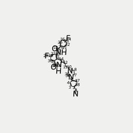 N#Cc1ccc(N2CCN(CCCc3cc4c(NC(=O)c5ccc(F)cc5)cc(F)cc4c(=O)[nH]3)CC2)cc1